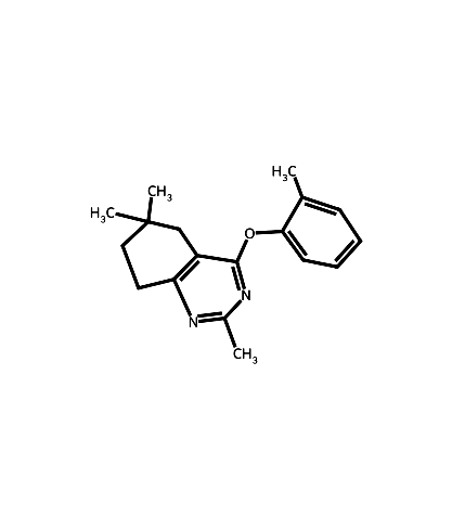 Cc1nc2c(c(Oc3ccccc3C)n1)CC(C)(C)CC2